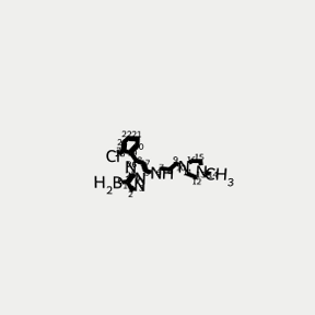 Bc1cnn2c(NCCCN3CCN(C)CC3)cc(-c3ccccc3Cl)nc12